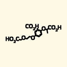 CC(Oc1ccc(OCCOCC(=O)O)cc1C(=O)O)C(=O)O